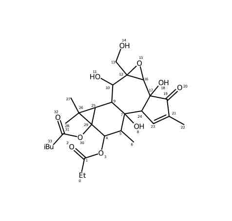 CCC(=O)OC1C(C)C2(O)C(C(O)C3(CO)OC3C3(O)C(=O)C(C)=CC32)C2C(C)(C)C12OC(=O)C(C)CC